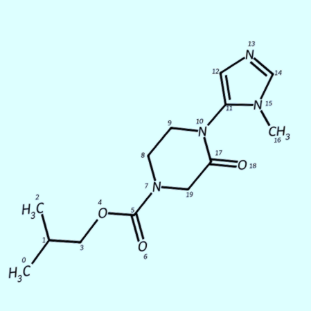 CC(C)COC(=O)N1CCN(c2cncn2C)C(=O)C1